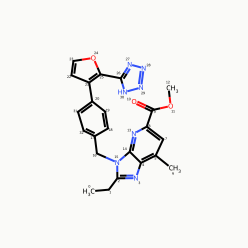 CCc1nc2c(C)cc(C(=O)OC)nc2n1Cc1ccc(-c2ccoc2-c2nnn[nH]2)cc1